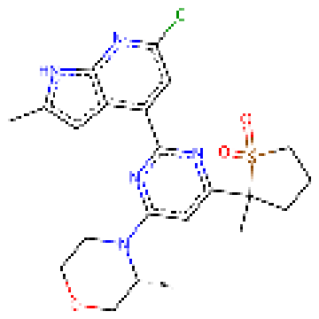 Cc1cc2c(-c3nc(N4CCOC[C@H]4C)cc(C4(C)CCCS4(=O)=O)n3)cc(Cl)nc2[nH]1